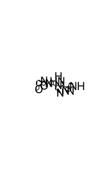 COc1cccc2nc(N3CCC(C(CC#N)N/C=C(\C=N)c4ncnc5[nH]ccc45)C3)oc12